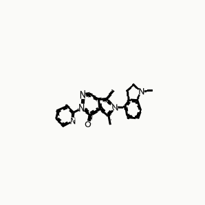 Cc1c2cnn(-c3ccccn3)c(=O)c2c(C)n1-c1cccc2c1CCN2C